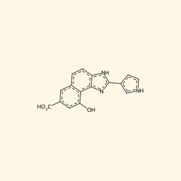 O=C(O)c1cc(O)c2c(ccc3[nH]c(-c4cc[nH]c4)nc32)c1